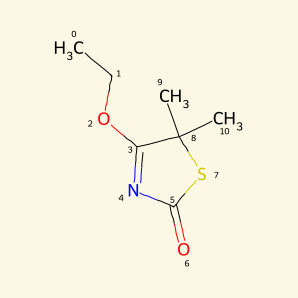 CCOC1=NC(=O)SC1(C)C